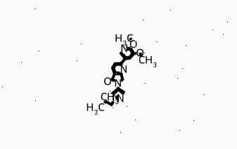 COc1cc(-c2ccc3c(n2)CN(c2cnn(CC(C)C)c2)C3=O)cnc1OC